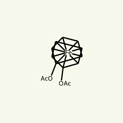 CC(=O)O[C]12[CH]3[CH]4[CH]5[CH]1[Fe]45321678[CH]2[CH]1[CH]6[C]7(OC(C)=O)[CH]28